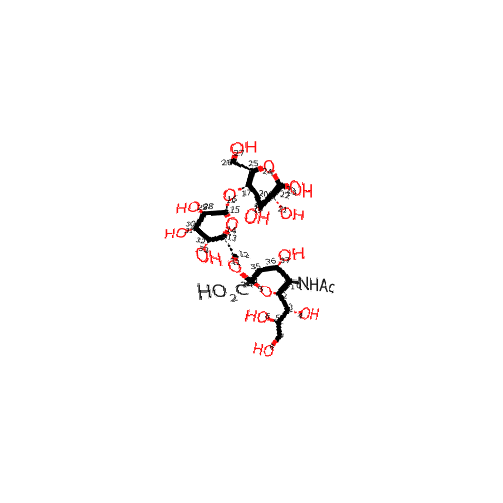 CC(=O)N[C@H]1[C@H]([C@H](O)[C@H](O)CO)O[C@@](OC[C@H]2O[C@@H](O[C@H]3[C@H](O)[C@@H](O)C(O)O[C@@H]3CO)[C@H](O)[C@@H](O)[C@H]2O)(C(=O)O)C[C@@H]1O